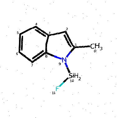 Cc1cc2ccccc2n1[SiH2]F